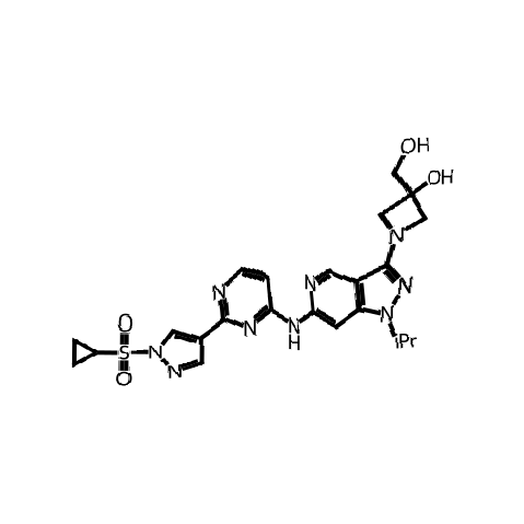 CC(C)n1nc(N2CC(O)(CO)C2)c2cnc(Nc3ccnc(-c4cnn(S(=O)(=O)C5CC5)c4)n3)cc21